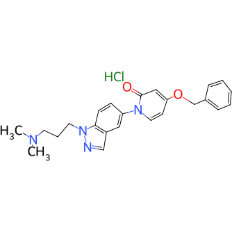 CN(C)CCCn1ncc2cc(-n3ccc(OCc4ccccc4)cc3=O)ccc21.Cl